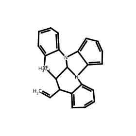 C=CC1c2ccccc2N2c3ccccc3N(c3ccccc3C(F)(F)F)C2C1C